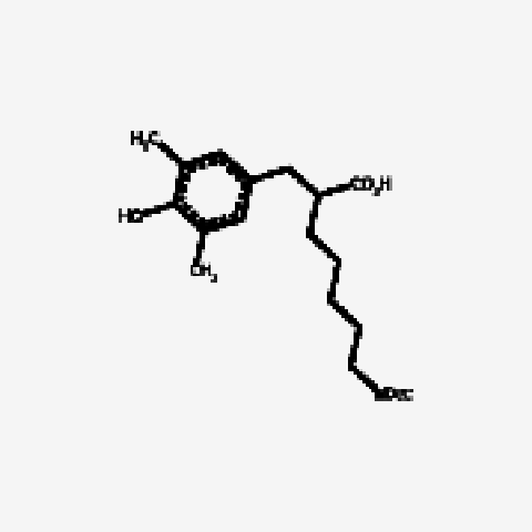 CCCCCCCCCCCCCCCC(Cc1cc(C)c(O)c(C)c1)C(=O)O